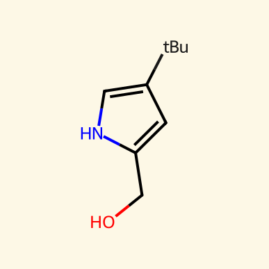 CC(C)(C)c1c[nH]c(CO)c1